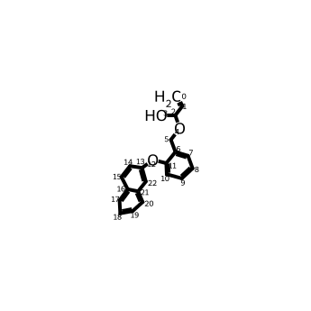 C=CC(O)OCc1ccccc1Oc1ccc2ccccc2c1